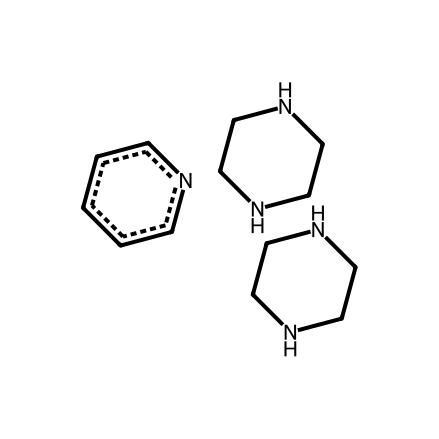 C1CNCCN1.C1CNCCN1.c1ccncc1